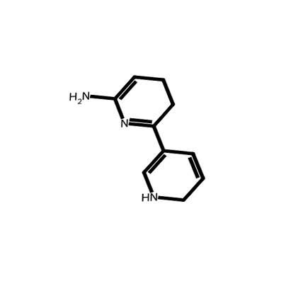 NC1=CCCC(C2=CNCC=C2)=N1